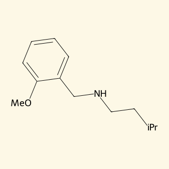 COc1ccccc1CNCCC(C)C